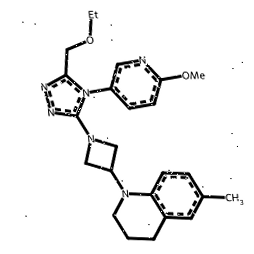 CCOCc1nnc(N2CC(N3CCCc4cc(C)ccc43)C2)n1-c1ccc(OC)nc1